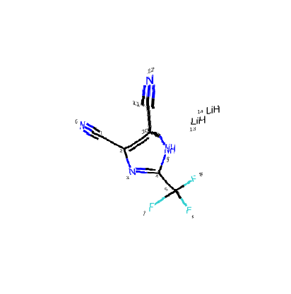 N#Cc1nc(C(F)(F)F)[nH]c1C#N.[LiH].[LiH]